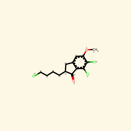 COc1cc2c(c(Cl)c1Cl)C(=O)C(CCCCCl)C2